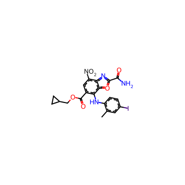 Cc1cc(I)ccc1Nc1c(C(=O)OCC2CC2)cc([N+](=O)[O-])c2nc(C(N)=O)oc12